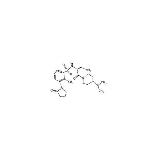 Cc1c(N2CCCC2=O)cccc1S(=O)(=O)N[C@@H](CN)C(=O)N1CCC(N(C)C)CC1